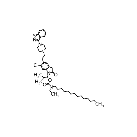 CCCCCCCCCCCCCCN(CC)C(=O)OC(C(C)C)N1C(=O)Cc2cc(CCN3CCN(c4nsc5ccccc45)CC3)c(Cl)cc21